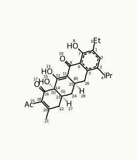 CCc1cc(C(C)C)c2c(c1O)C(=O)C1=C(O)[C@]3(O)C(=O)C(C(C)=O)=C(C)C[C@@H]3C[C@@H]1C2